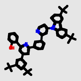 CC(C)(C)c1cc(-c2cc(-c3cccc(-c4cc(-n5c6ccc(C(C)(C)C)cc6c6cc(C(C)(C)C)ccc65)ccn4)c3)nc(-c3ccccc3O)c2)cc(C(C)(C)C)c1